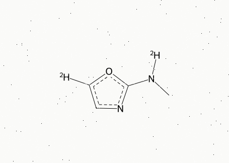 [2H]c1cnc(N([2H])C)o1